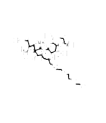 CC(O)CO.CCCCCCCC(CCCCOCCOCCOCCO)[C@](O)(C(=O)NC1O[C@H](CO)[C@@H](O)[C@H](O)[C@H]1O)[C@H](O)[C@H](O)CO